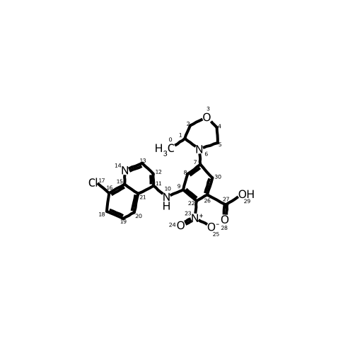 CC1COCCN1c1cc(Nc2ccnc3c(Cl)cccc23)c([N+](=O)[O-])c(C(=O)O)c1